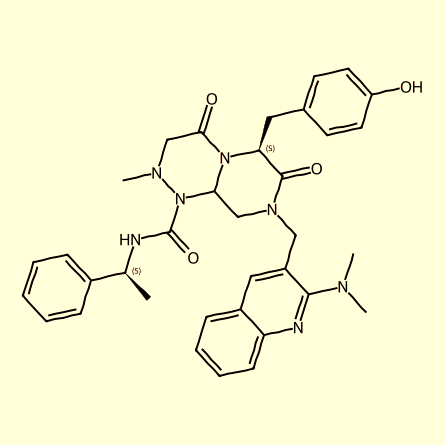 C[C@H](NC(=O)N1C2CN(Cc3cc4ccccc4nc3N(C)C)C(=O)[C@H](Cc3ccc(O)cc3)N2C(=O)CN1C)c1ccccc1